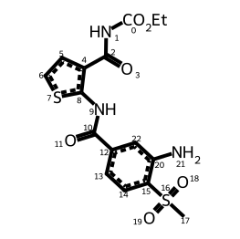 CCOC(=O)NC(=O)c1ccsc1NC(=O)c1ccc(S(C)(=O)=O)c(N)c1